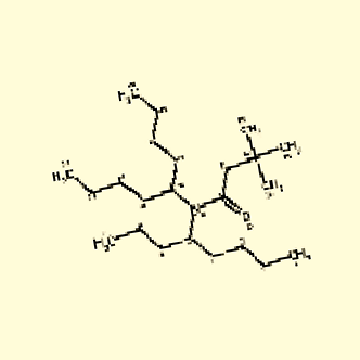 CCCCC(CCC)N(C(=O)CC(C)(C)C)C(CCCC)CCCC